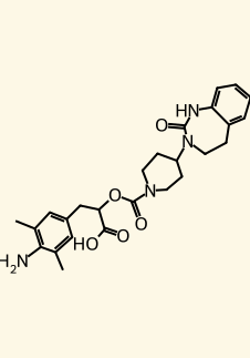 Cc1cc(CC(OC(=O)N2CCC(N3CCc4ccccc4NC3=O)CC2)C(=O)O)cc(C)c1N